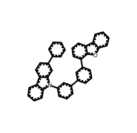 c1ccc(-c2ccc3c4ccccc4n(-c4cccc(-c5cccc(-c6cccc7c6oc6ccccc67)c5)c4)c3c2)cc1